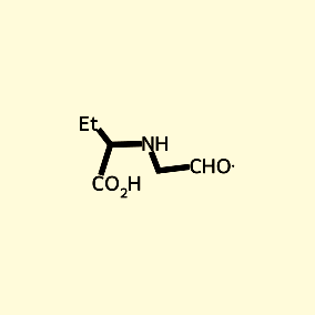 CCC(NC[C]=O)C(=O)O